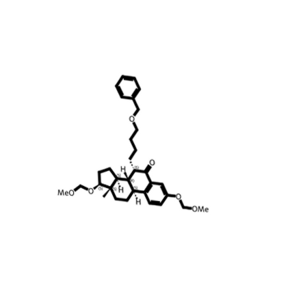 COCOc1ccc2c(c1)C(=O)[C@@H](CCCCOCc1ccccc1)[C@@H]1[C@@H]2CC[C@]2(C)[C@@H](OCOC)CC[C@@H]12